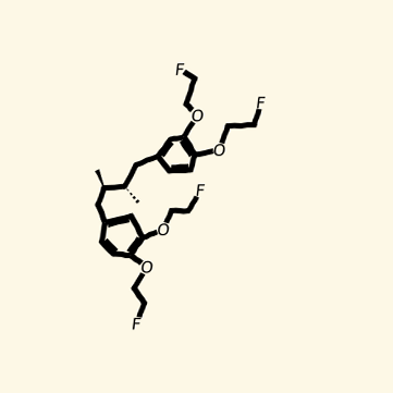 C[C@H](Cc1ccc(OCCF)c(OCCF)c1)[C@@H](C)Cc1ccc(OCCF)c(OCCF)c1